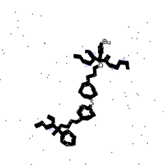 C=C/C=C\C(=C/C)C(C#CC(C)CC)(OCCCC1=CCC=C(Sc2ccc(CCCCC(C)(/C(C=C)=C/C=C)c3ccccc3)cc2)C=C1)C(=C)/C=C\C=C/C